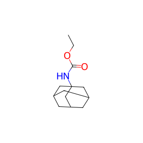 CCOC(=O)NC12CC3CC(CC(C3)C1)C2